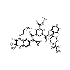 COCCCN1C(=O)C(C)(C)Oc2ccc(N(C(=O)[C@@H]3C[C@H](C(=O)NC4(c5ccccc5)CCN(S(C)(=O)=O)CC4)CN(C(=O)OC(C)(C)C)C3)C3CC3)cc21